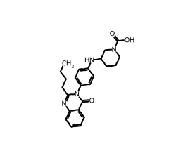 CCCCc1nc2ccccc2c(=O)n1-c1ccc(NC2CCCN(C(=O)O)C2)cc1